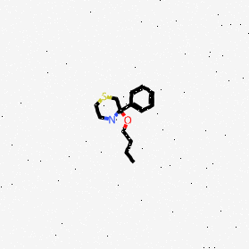 CCCCOC1(c2ccccc2)CSCC[N]1